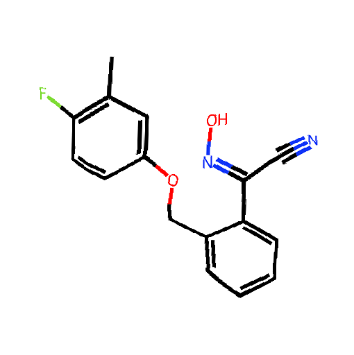 Cc1cc(OCc2ccccc2C(C#N)=NO)ccc1F